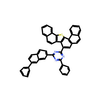 c1ccc(-c2ccc3ccc(-c4nc(-c5ccccc5)nc(-c5cc6ccc7ccccc7c6c6sc7c8ccccc8ccc7c56)n4)cc3c2)cc1